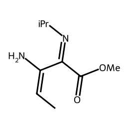 C/C=C(N)\C(=N/C(C)C)C(=O)OC